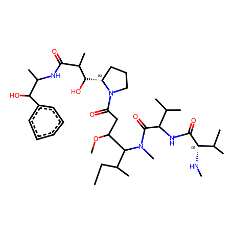 CCC(C)C(C(CC(=O)N1CCC[C@H]1C(O)C(C)C(=O)NC(C)C(O)c1ccccc1)OC)N(C)C(=O)C(NC(=O)[C@@H](NC)C(C)C)C(C)C